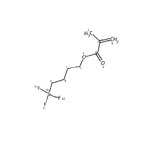 C=C(C)C(=O)OCCCC[Si](F)(F)F